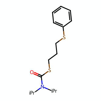 CC(C)N(C(=O)SCCCSc1ccccc1)C(C)C